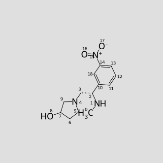 CN[C@H](CN1CCC(O)C1)c1cccc([N+](=O)[O-])c1